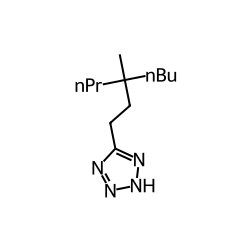 CCCCC(C)(CCC)CCc1nn[nH]n1